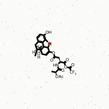 CC(=O)O[C@@H](C)C(=O)N[C@@H](CC(=O)OC1=CC[C@@]2(O)[C@H]3Cc4ccc(O)c5c4[C@@]2(CCN3C)[C@H]1O5)C(=O)OC(=O)C(F)(F)F